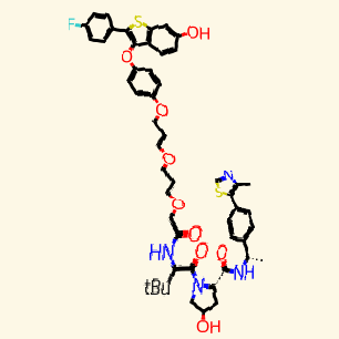 Cc1ncsc1-c1ccc([C@H](C)NC(=O)[C@@H]2C[C@@H](O)CN2C(=O)C(NC(=O)COCCCOCCCOc2ccc(Oc3c(-c4ccc(F)cc4)sc4cc(O)ccc34)cc2)C(C)(C)C)cc1